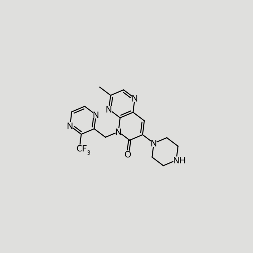 Cc1cnc2cc(N3CCNCC3)c(=O)n(Cc3nccnc3C(F)(F)F)c2n1